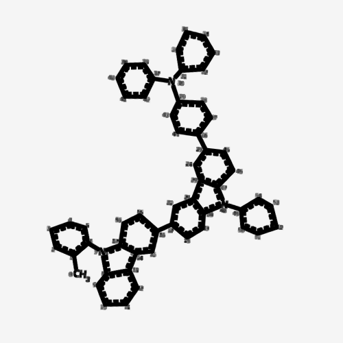 Cc1ccccc1-n1c2ccccc2c2cc(-c3ccc4c(c3)c3cc(-c5ccc(N(c6ccccc6)c6ccccc6)cc5)ccc3n4-c3ccccc3)ccc21